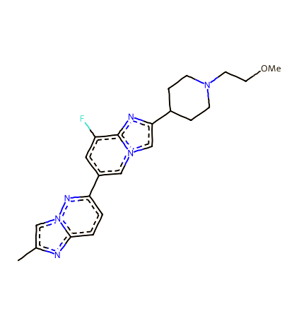 COCCN1CCC(c2cn3cc(-c4ccc5nc(C)cn5n4)cc(F)c3n2)CC1